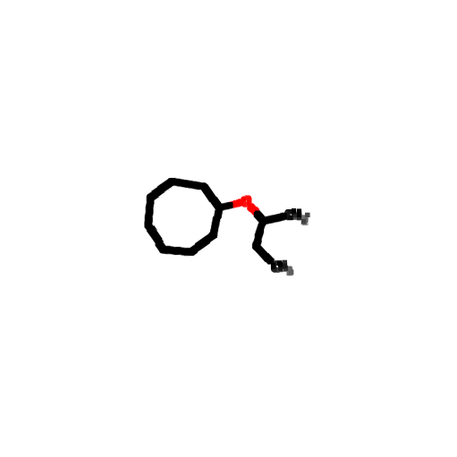 [CH2]C(CC)OC1CCCCCCC1